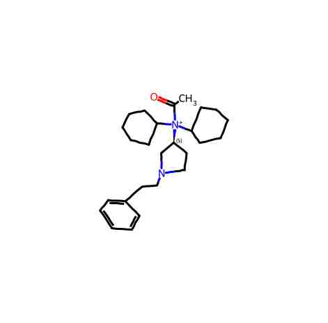 CC(=O)[N+](C1CCCCC1)(C1CCCCC1)[C@H]1CCN(CCc2ccccc2)C1